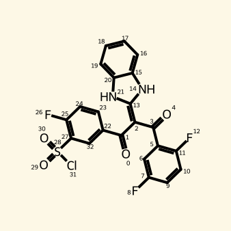 O=C(C(C(=O)c1cc(F)ccc1F)=C1Nc2ccccc2N1)c1ccc(F)c(S(=O)(=O)Cl)c1